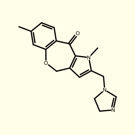 Cc1ccc2c(c1)OCc1cc(CN3C=NCC3)n(C)c1C2=O